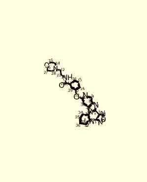 Nc1nonc1-c1nc2cnc(Oc3cccc(C(=O)NCCN4CCOCC4)c3)cc2n1-c1ccccc1